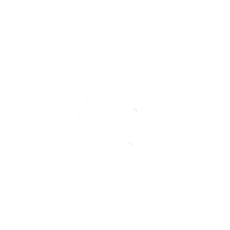 Cc1cc(-c2nc3cc(C=O)ccc3n2CC2COCCN2C)cn(C)c1=O